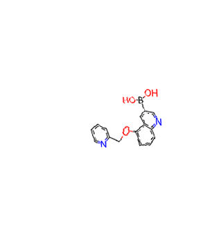 OB(O)c1cnc2cccc(OCc3ccccn3)c2c1